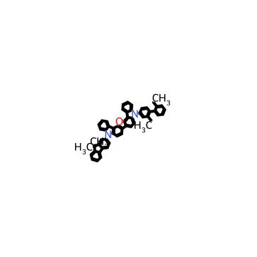 CCc1ccccc1-c1ccc(-n2c3ccccc3c3c4oc5c(ccc6c5c5ccccc5n6-c5ccc6c(c5)C(C)(C)c5ccccc5-6)c4ccc32)cc1CC